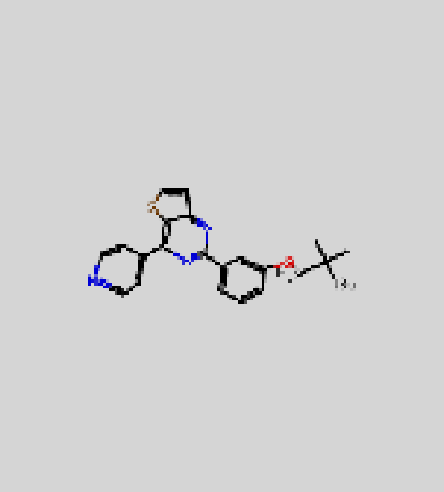 CC(C)(C)C(C)(C)[SiH2]Oc1cccc(-c2nc(-c3ccncc3)c3sccc3n2)c1